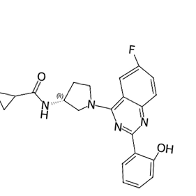 O=C(N[C@@H]1CCN(c2nc(-c3ccccc3O)nc3ccc(F)cc23)C1)C1CC1